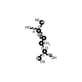 Cc1c(COc2cc(OCc3cncc(C#N)c3)c(CNCCO)cc2Cl)cccc1-c1cccc2c1cnn2Cc1cc(OCc2cncc(C#N)c2)c(CNCCO)cc1Cl